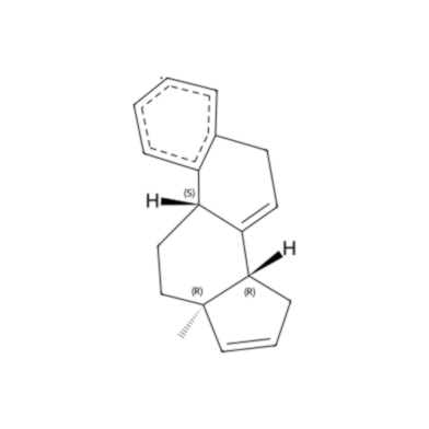 C[C@@]12C=CC[C@H]1C1=CCc3c[c]ccc3[C@H]1CC2